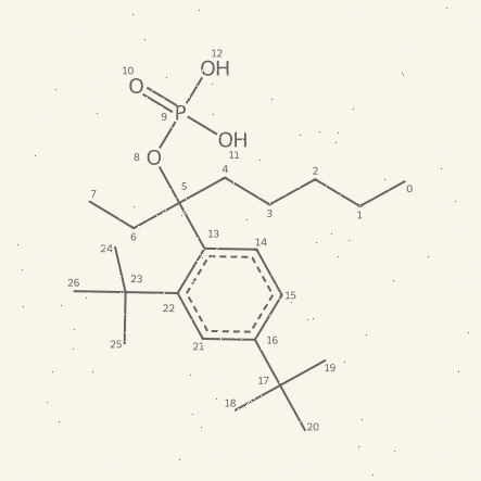 CCCCCC(CC)(OP(=O)(O)O)c1ccc(C(C)(C)C)cc1C(C)(C)C